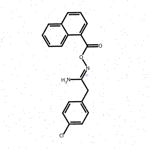 N/C(Cc1ccc(Cl)cc1)=N\OC(=O)c1cccc2ccccc12